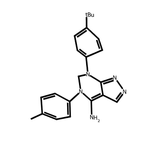 Cc1ccc(N2CN(c3ccc(C(C)(C)C)cc3)C3=NN=CC3=C2N)cc1